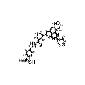 CC1COCCN1c1nc(N2CCOCC2C)c2ccc(-c3cccc(C(=O)NOCc4ccc(B(O)O)cc4)c3)nc2n1